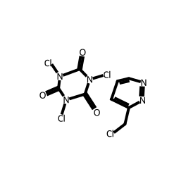 ClCc1cccnn1.O=c1n(Cl)c(=O)n(Cl)c(=O)n1Cl